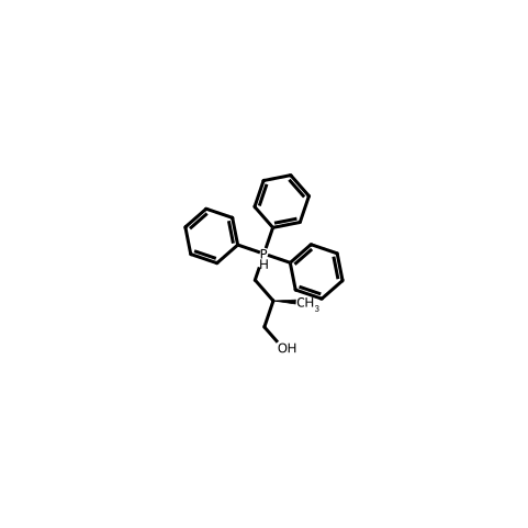 C[C@@H](CO)C[PH](c1ccccc1)(c1ccccc1)c1ccccc1